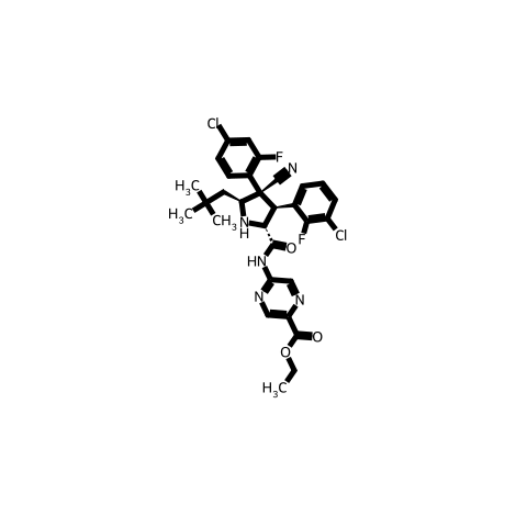 CCOC(=O)c1cnc(NC(=O)[C@@H]2N[C@@H](CC(C)(C)C)[C@](C#N)(c3ccc(Cl)cc3F)[C@H]2c2cccc(Cl)c2F)cn1